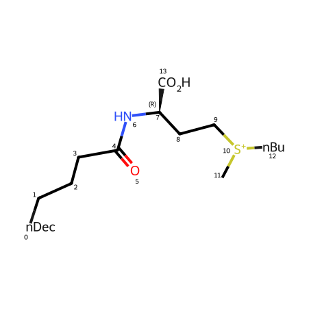 CCCCCCCCCCCCCC(=O)N[C@H](CC[S+](C)CCCC)C(=O)O